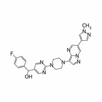 Cn1cc(-c2cnc3c(N4CCN(c5ncc(C(O)c6ccc(F)cc6)cn5)CC4)cnn3c2)cn1